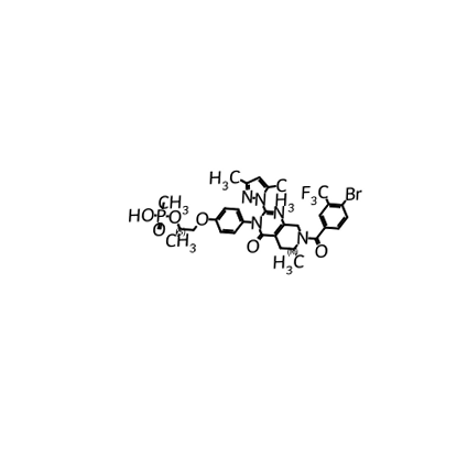 Cc1cc(C)n(-c2nc3c(c(=O)n2-c2ccc(OC[C@H](C)OP(C)(=O)O)cc2)C[C@@H](C)N(C(=O)c2ccc(Br)c(C(F)(F)F)c2)C3)n1